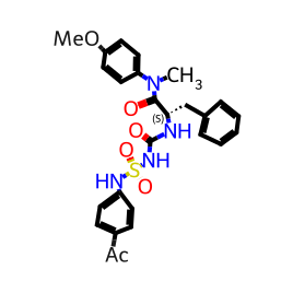 COc1ccc(N(C)C(=O)[C@H](Cc2ccccc2)NC(=O)NS(=O)(=O)Nc2ccc(C(C)=O)cc2)cc1